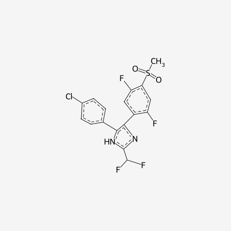 CS(=O)(=O)c1cc(F)c(-c2nc(C(F)F)[nH]c2-c2ccc(Cl)cc2)cc1F